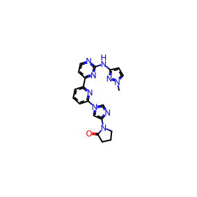 Cn1ccc(Nc2nccc(-c3cccc(-n4cnc(N5CCCC5=O)c4)n3)n2)n1